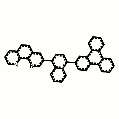 c1cnc2c(c1)ccc1cc(-c3ccc(-c4ccc5c6ccccc6c6ccccc6c5c4)c4ccccc34)cnc12